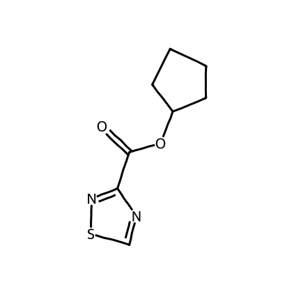 O=C(OC1CCCC1)c1ncsn1